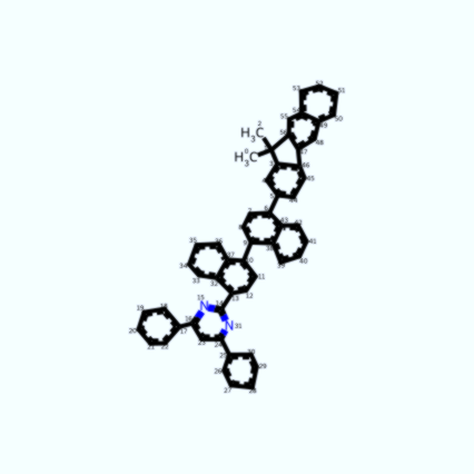 CC1(C)c2cc(-c3ccc(-c4ccc(-c5nc(-c6ccccc6)cc(-c6ccccc6)n5)c5ccccc45)c4ccccc34)ccc2-c2cc3ccccc3cc21